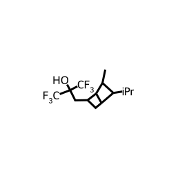 CC(C)C1C(C)C2C(CC(O)(C(F)(F)F)C(F)(F)F)CC12